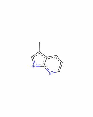 Cc1[c][nH]c2ncccc12